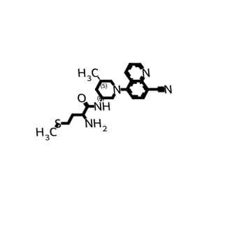 CSCCC(N)C(=O)N[C@@H]1C[C@H](C)CN(c2ccc(C#N)c3ncccc23)C1